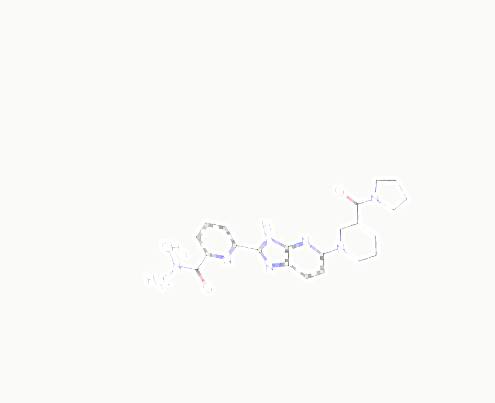 CN(C)C(=O)c1cccc(-c2nc3ccc(N4CCCC(C(=O)N5CCCC5)C4)nc3[nH]2)n1